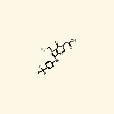 CCn1nc(Nc2ccc(C(F)(F)F)cc2)c2ncn(CC(=O)O)c(=O)c21